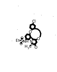 CCS(=O)(=O)Nc1ccc2c(c1)-c1nn(C)c(=O)cc1OCCCCc1cc(Cl)ccc1O2